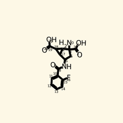 NC1(C(=O)O)CC(NC(=O)c2ccccc2F)C2C(C(=O)O)C21